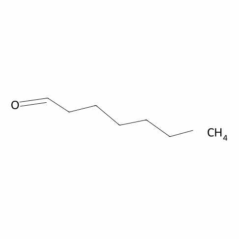 C.CCCCCCC=O